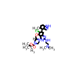 Cc1ccc2[nH]ncc2c1-c1cc2nc(NCCN(C)C)nc3c2c(c1Cl)OC[C@@H]1CN(C(=O)OC(C)(C)C)CCN31